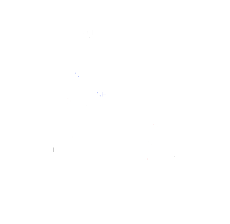 CC1(OC(C(=O)Nc2ccc(C(=O)O)cn2)c2ccc(S(=O)(=O)C3CC3)cc2)CCC2(CCCCC2)CC1